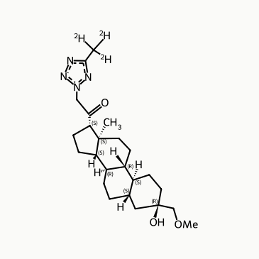 [2H]C([2H])([2H])c1nnn(CC(=O)[C@H]2CC[C@H]3[C@@H]4CC[C@H]5C[C@@](O)(COC)CC[C@@H]5[C@H]4CC[C@]23C)n1